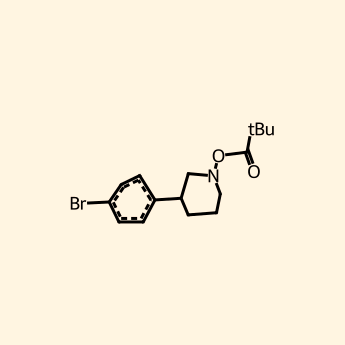 CC(C)(C)C(=O)ON1CCCC(c2ccc(Br)cc2)C1